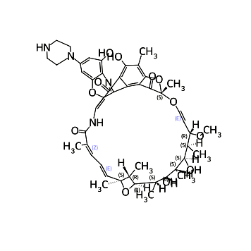 CO[C@H]1/C=C/O[C@@]2(C)Oc3c(C)c(O)c4c(=O)c(c5oc6cc(N7CCNCC7)cc(O)c6nc-5c4c3C2=O)NC(=O)/C(C)=C\C=C\[C@]2(C)O[C@H]([C@@H](C)[C@@H](O)[C@@H](C)[C@H](O)[C@@H]1C)[C@H]2C